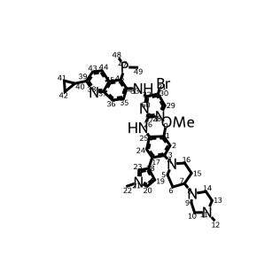 COc1cc(N2CCC(N3CCN(C)CC3)CC2)c(-c2ccn(C)c2)cc1Nc1ncc(Br)c(Nc2ccc3nc(C4CC4)ccc3c2P(C)C)n1